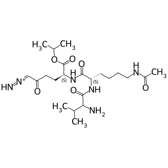 CC(=O)NCCCC[C@H](NC(=O)C(N)C(C)C)C(=O)N[C@@H](CCC(=O)C=[N+]=N)C(=O)OC(C)C